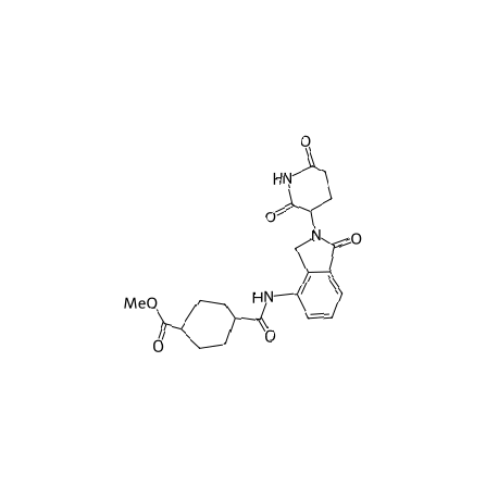 COC(=O)C1CCC(C(=O)Nc2cccc3c2CN(C2CCC(=O)NC2=O)C3=O)CC1